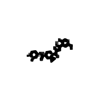 COc1cc(-c2cc(C(=O)N3CC[C@H](C(=O)N[C@H]4CC[C@H](C)N(C)C4)CC34CC4)n[nH]2)c(F)cn1